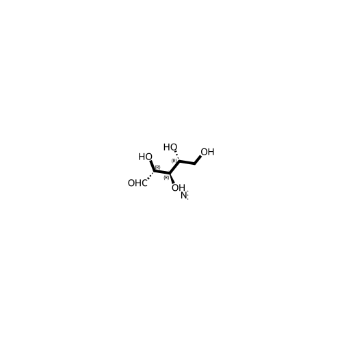 O=C[C@H](O)[C@H](O)[C@H](O)CO.[N]